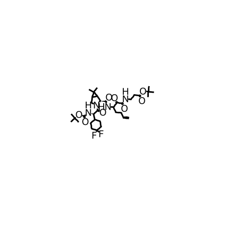 C=CCCC(NC(=O)[C@@H]1C2C(CN1C(=O)[C@@H](NC(=O)OC(C)(C)C)C1CCC(F)(F)CC1)C2(C)C)C(=O)C(=O)NCCC(=O)OC(C)(C)C